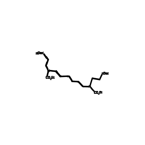 CCCCCCCCCCCCN(CCCCCCN(CCCCCCCCCCCC)C(=O)OCC)C(=O)OCC